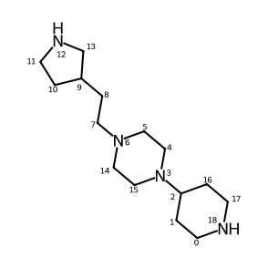 C1CC(N2CCN(CCC3CCNC3)CC2)CCN1